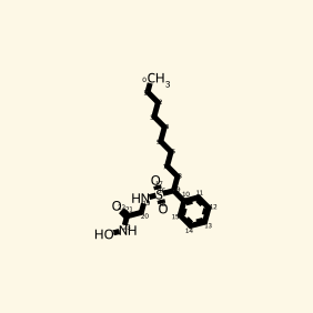 CCCCCCCCCC(c1ccccc1)S(=O)(=O)NCC(=O)NO